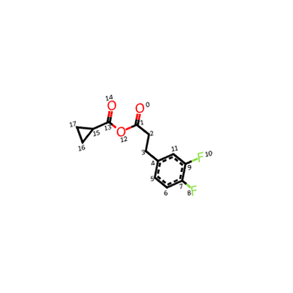 O=C(CCc1ccc(F)c(F)c1)OC(=O)C1CC1